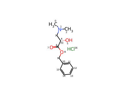 CN(C)C[C@H](O)C(=O)OCc1ccccc1.Cl